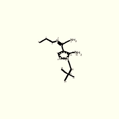 CCC/N=C(/N)c1cnn(CC(C)(C)C)c1N